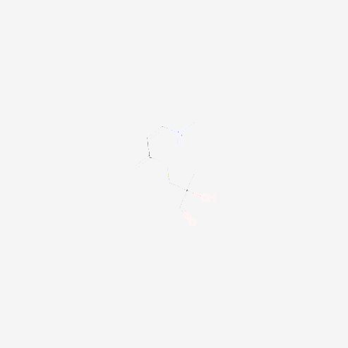 C=C(/C=C\NC)SCC(C)(O)C=O